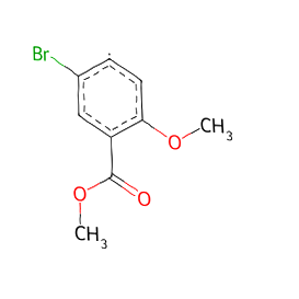 COC(=O)c1cc(Br)[c]cc1OC